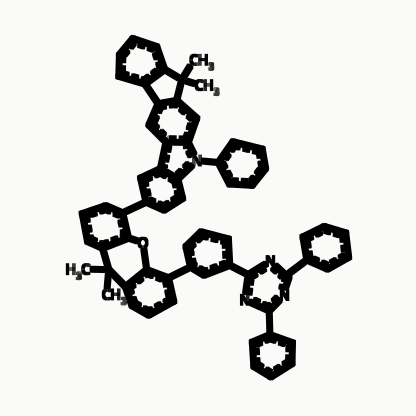 CC1(C)c2ccccc2-c2cc3c4cc(-c5cccc6c5Oc5c(-c7cccc(-c8nc(-c9ccccc9)nc(-c9ccccc9)n8)c7)cccc5C6(C)C)ccc4n(-c4ccccc4)c3cc21